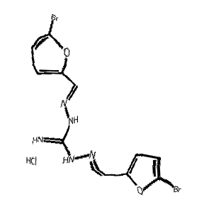 Cl.N=C(NN=Cc1ccc(Br)o1)NN=Cc1ccc(Br)o1